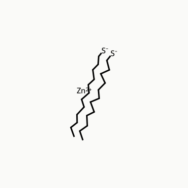 CCCCCCCCCCCC[S-].CCCCCCCCCCCC[S-].[Zn+2]